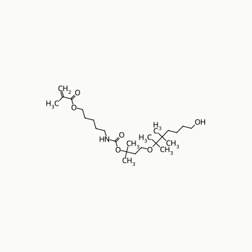 C=C(C)C(=O)OCCCCCNC(=O)OC(C)(C)CCOC(C)(C)C(C)(C)CCCCO